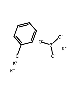 Clc1ccccc1.[K+].[K+].[K+].[O-]B([O-])[O-]